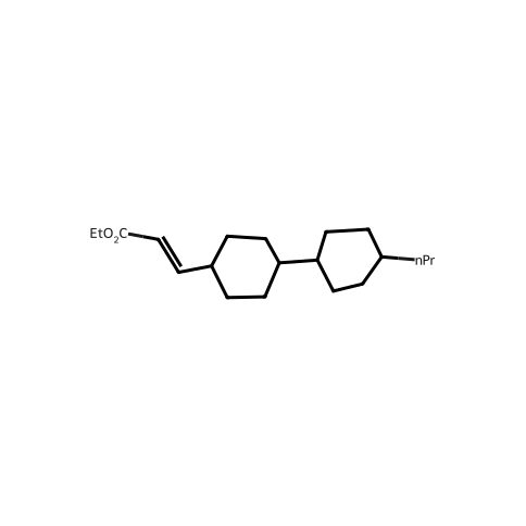 CCCC1CCC(C2CCC(C=CC(=O)OCC)CC2)CC1